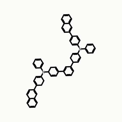 C1=CC(N(C2=CC=C(c3ccc4ccccc4c3)CC2)c2ccccc2)CC=C1c1cccc(C2C=CC(N(c3ccccc3)c3ccc(-c4ccc5ccccc5c4)cc3)=CC2)c1